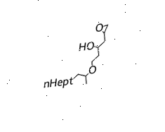 CCCCCCCCC(C)OCCC(O)CC1CO1